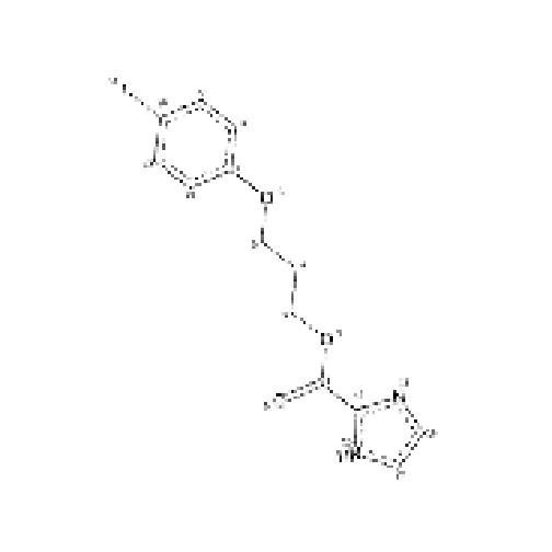 O=C(OCCCOc1ccc(I)cc1)c1ncc[nH]1